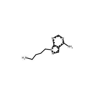 NCCCCn1ncc2c(N)ncnc21